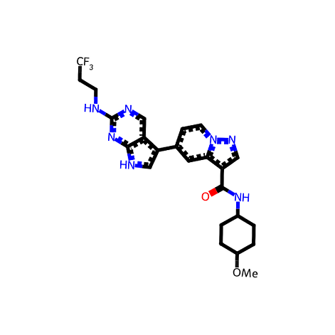 COC1CCC(NC(=O)c2cnn3ccc(-c4c[nH]c5nc(NCCC(F)(F)F)ncc45)cc23)CC1